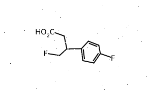 O=C(O)CC(CF)c1ccc(F)cc1